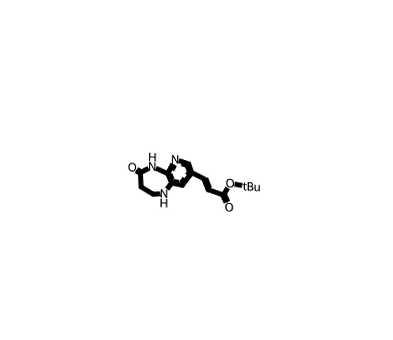 CC(C)(C)OC(=O)C=Cc1cnc2c(c1)NCCC(=O)N2